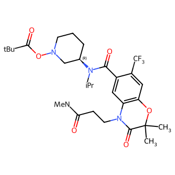 CNC(=O)CCN1C(=O)C(C)(C)Oc2cc(C(F)(F)F)c(C(=O)N(C(C)C)[C@@H]3CCCN(OC(=O)C(C)(C)C)C3)cc21